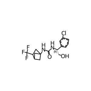 O=C(N[C@@H](CO)c1cccc(Cl)c1)NC12CC(C1)C(C(F)(F)F)C2